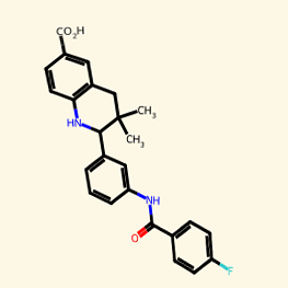 CC1(C)Cc2cc(C(=O)O)ccc2NC1c1cccc(NC(=O)c2ccc(F)cc2)c1